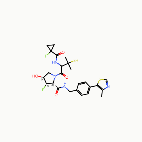 Cc1ncsc1-c1ccc(CNC(=O)[C@@H]2[C@@H](F)[C@@H](O)CN2C(=O)C(NC(=O)C2(F)CC2)C(C)(C)S)cc1